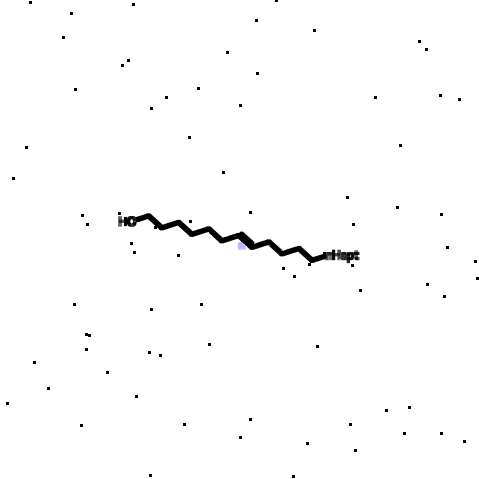 CCCCCCCCCCC/C=C/CCCCCCO